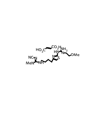 CNC(=NC#N)NCCCCc1csc(NC(N)=NCCOC)n1.O=C(O)C=CC(=O)O